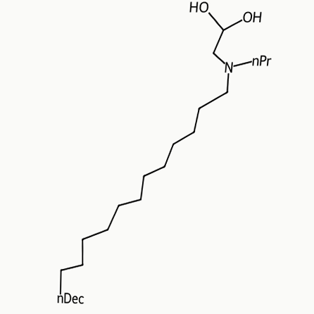 CCCCCCCCCCCCCCCCCCCCCCN(CCC)CC(O)O